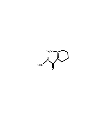 O=CNC(=O)C1=C(C(=O)O)CCCC1